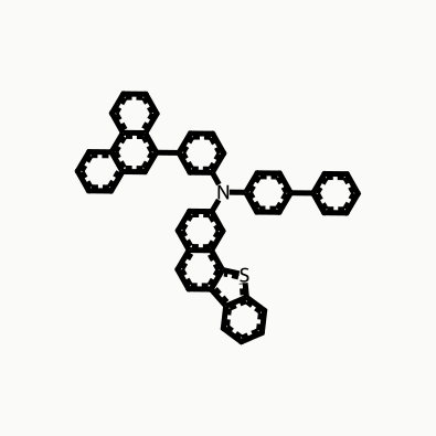 c1ccc(-c2ccc(N(c3cccc(-c4cc5ccccc5c5ccccc45)c3)c3ccc4ccc5c6ccccc6sc5c4c3)cc2)cc1